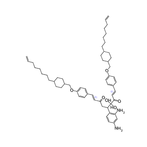 C=CCCCCCCC1CCC(COc2ccc(/C=C/C(=O)CC(c3ccc(N)cc3N)C(O)(O)C(=O)/C=C/c3ccc(OCC4CCC(CCCCCCC=C)CC4)cc3)cc2)CC1